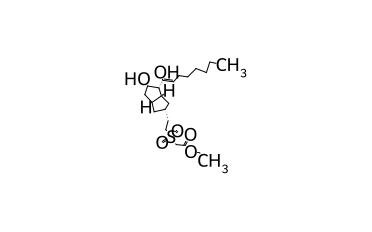 CCCCCCC=C(O)[C@@H]1[C@@H]2C[C@H](CCS(=O)(=O)CC(=O)OCC)C[C@@H]2C[C@H]1O